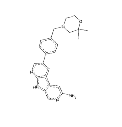 CC1(C)CN(Cc2ccc(-c3cnc4[nH]c5cnc(N)cc5c4c3)cc2)CCO1